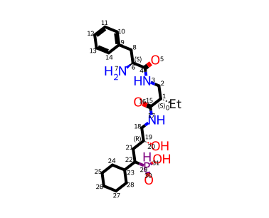 CC[C@@H](CNC(=O)[C@@H](N)Cc1ccccc1)C(=O)NC[C@H](O)CC(C1CCCCC1)[PH](=O)O